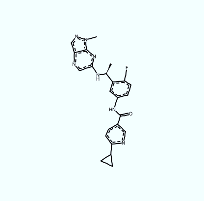 C[C@H](Nc1cnc2cnn(C)c2n1)c1cc(NC(=O)c2ccc(C3CC3)nc2)ccc1F